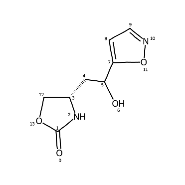 O=C1N[C@@H](CC(O)c2ccno2)CO1